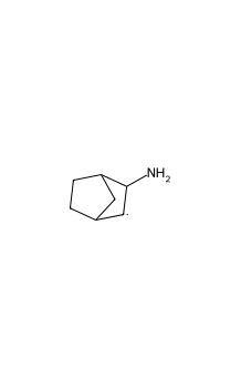 NC1[CH]C2CCC1C2